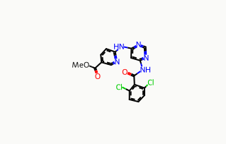 COC(=O)c1ccc(Nc2cc(NC(=O)c3c(Cl)cccc3Cl)ncn2)nc1